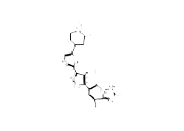 Cc1cc(-c2[nH]nc(-c3ncc(C4CCN(C)CC4)s3)c2C(C)C)cn2ncnc12